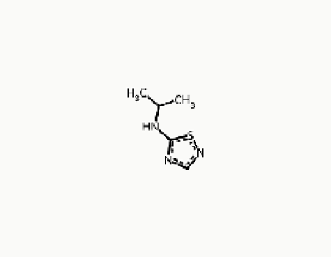 CC(C)Nc1ncns1